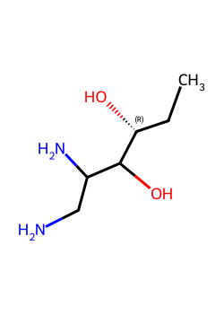 CC[C@@H](O)C(O)C(N)CN